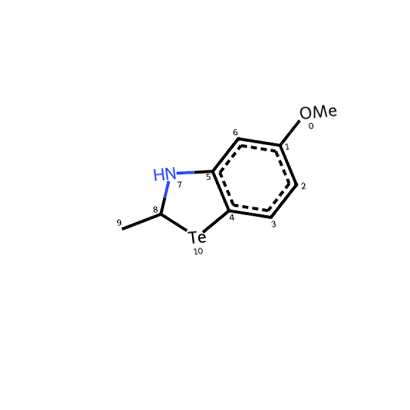 COc1ccc2c(c1)NC(C)[Te]2